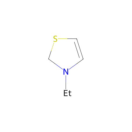 CCN1C=CSC1